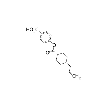 C=CC[C@H]1CC[C@H](C(=O)Oc2ccc(C(=O)O)cc2)CC1